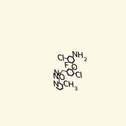 Cc1cccnc1-c1nnc(Cc2ccc(Cl)c(Oc3cc(N)cc(Cl)c3)c2F)o1